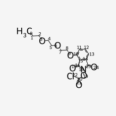 CCCOCCOCCOc1cccc2c1C(=O)N(OC(=O)Cl)C2=O